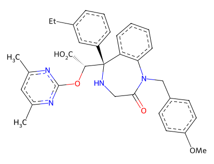 CCc1cccc([C@]2([C@H](Oc3nc(C)cc(C)n3)C(=O)O)NCC(=O)N(Cc3ccc(OC)cc3)c3ccccc32)c1